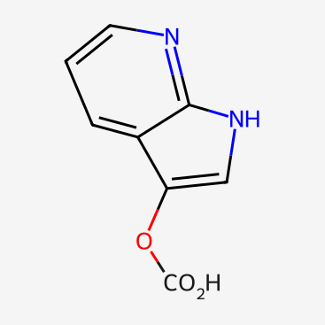 O=C(O)Oc1c[nH]c2ncccc12